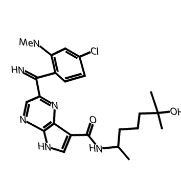 CNc1cc(Cl)ccc1C(=N)c1cnc2[nH]cc(C(=O)NC(C)CCCC(C)(C)O)c2n1